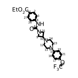 CCOC(=O)c1ccc(NC(=O)N2CC(N3CCN(c4ccc(OC(F)(F)F)cc4)CC3)C2)cc1